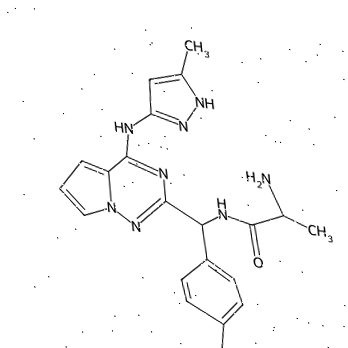 Cc1cc(Nc2nc(C(NC(=O)C(C)N)c3ccc(F)cc3)nn3cccc23)n[nH]1